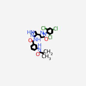 C=C(C)C(=O)Nc1cccc(C(=O)Nc2n[nH]cc2C2=NN(c3c(Cl)cc(Cl)cc3Cl)C(=O)C2)c1